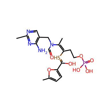 C/C(=C(CCOP(=O)(O)O)/[SH]=C(\O)c1ccc(C)o1)N(C=O)Cc1cnc(C)nc1N